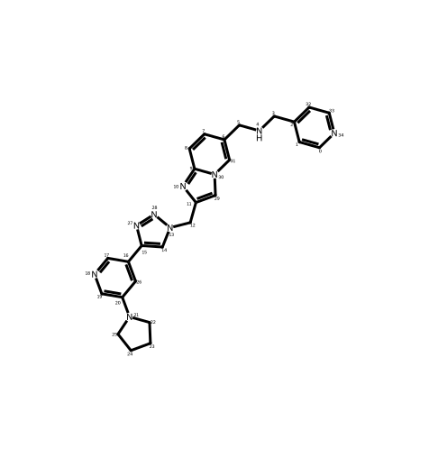 c1cc(CNCc2ccc3nc(Cn4cc(-c5cncc(N6CCCC6)c5)nn4)cn3c2)ccn1